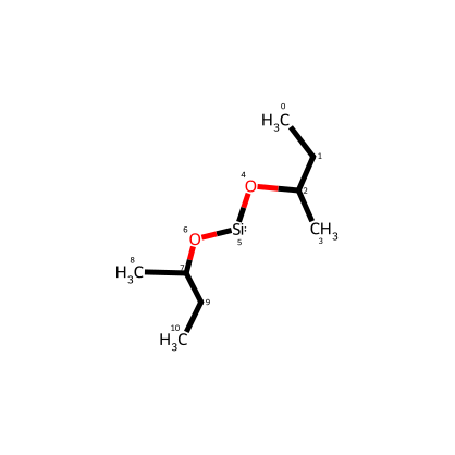 CCC(C)O[Si]OC(C)CC